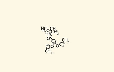 Cc1cccc(Oc2ccc(C(=O)CNC(C)(C)C)cc2Oc2cccc(C)c2)c1.Cl